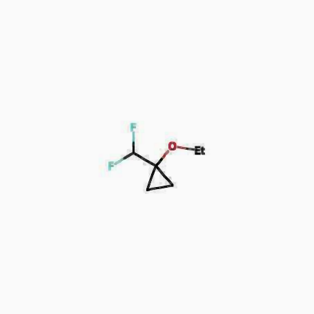 CCOC1(C(F)F)CC1